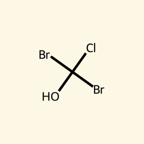 OC(Cl)(Br)Br